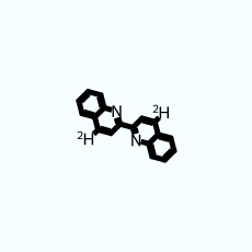 [2H]c1cc(-c2cc([2H])c3ccccc3n2)nc2ccccc12